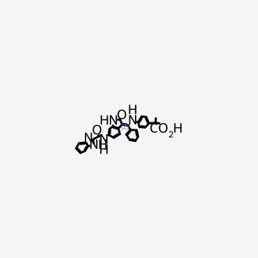 CC(C)(C(=O)O)c1ccc(N/C(=C2\C(=O)Nc3cc(NC(=O)c4nc5ccccc5[nH]4)ccc32)c2ccccc2)cc1